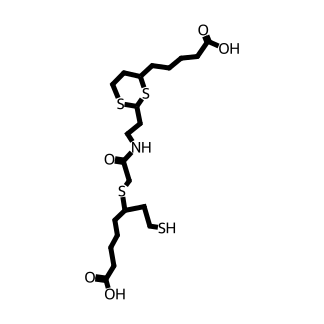 O=C(O)CCCCC(CCS)SCC(=O)NCCC1SCCC(CCCCC(=O)O)S1